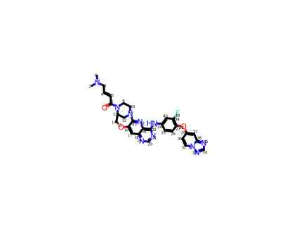 CN(C)C/C=C/C(=O)N1CCN2CC1COc1cc3ncnc(Nc4ccc(Oc5ccn6ncnc6c5)c(F)c4)c3nc12